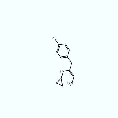 O=[N+]([O-])C=C(Cc1ccc(Cl)nc1)NC1CC1